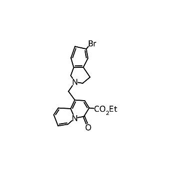 CCOC(=O)c1cc(CN2CCc3cc(Br)ccc3C2)c2ccccn2c1=O